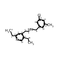 CCc1cc(CCNCc2cc(C)cc(Cl)c2)c(CC)cn1